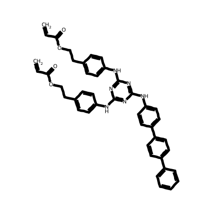 C=CC(=O)OCCc1ccc(Nc2nc(Nc3ccc(CCOC(=O)C=C)cc3)nc(Nc3ccc(-c4ccc(-c5ccccc5)cc4)cc3)n2)cc1